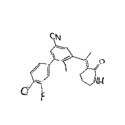 C/C(=C1/CCCNC1=O)c1cc(C#N)cc(-c2ccc(Cl)c(F)c2)c1C